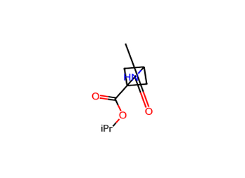 CC(C)OC(=O)C12CC(C1)NC2=O